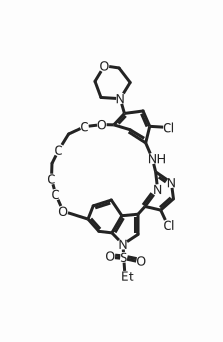 CCS(=O)(=O)n1cc2c3ccc(cc31)OCCCCCCOc1cc(c(Cl)cc1N1CCOCC1)Nc1ncc(Cl)c-2n1